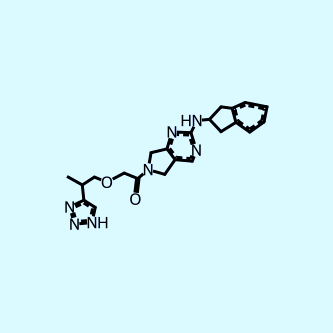 CC(COCC(=O)N1Cc2cnc(NC3Cc4ccccc4C3)nc2C1)c1c[nH]nn1